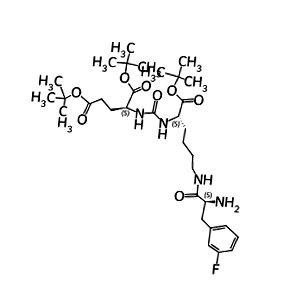 CC(C)(C)OC(=O)CC[C@H](NC(=O)N[C@@H](CCCCNC(=O)[C@@H](N)Cc1cccc(F)c1)C(=O)OC(C)(C)C)C(=O)OC(C)(C)C